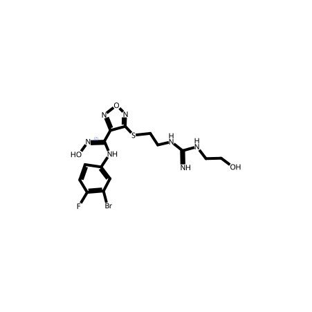 N=C(NCCO)NCCSc1nonc1/C(=N/O)Nc1ccc(F)c(Br)c1